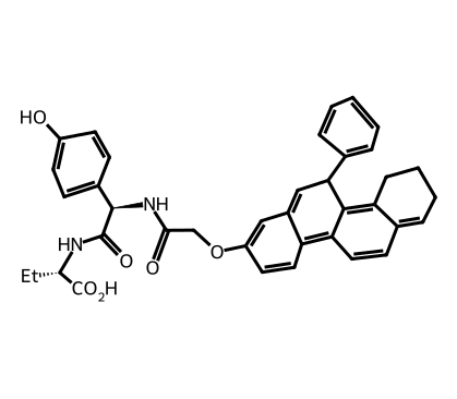 CC[C@H](NC(=O)[C@H](NC(=O)COc1ccc2c(c1)=CC(c1ccccc1)c1c3c(ccc1=2)=CCCC3)c1ccc(O)cc1)C(=O)O